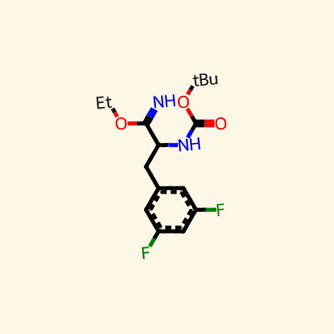 CCOC(=N)C(Cc1cc(F)cc(F)c1)NC(=O)OC(C)(C)C